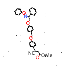 COC(=O)CC(C#N)c1ccc(OCc2ccc(OCC(=NOc3ccccc3)c3ccccc3)cc2)cc1